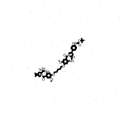 [2H]C1([2H])Nc2cc(OCCCCCOc3cc4c(cc3OC)C(=O)N3C=C(c5ccc(NC(=O)OC(C)(C)C)cc5)C[C@H]3CN4)c(OC)cc2C(=O)N2CC3(CC3)C[C@H]21